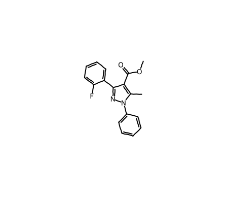 COC(=O)c1c(-c2ccccc2F)nn(-c2ccccc2)c1C